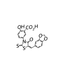 O=C(O)c1cc(N2C(=O)C(=Cc3ccc4c(c3)OCO4)SC2=S)ccc1O